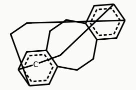 c1c2c3cc4c1CCc1cc(c(cc1CC4)CC3)CC2